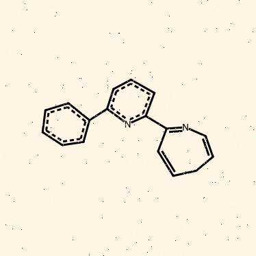 C1=CN=C(c2cccc(-c3ccccc3)n2)C=CC1